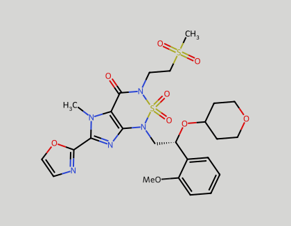 COc1ccccc1[C@H](CN1c2nc(-c3ncco3)n(C)c2C(=O)N(CCS(C)(=O)=O)S1(=O)=O)OC1CCOCC1